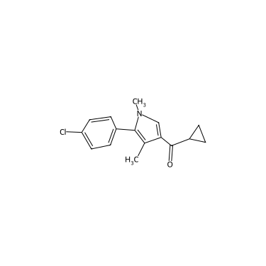 Cc1c(C(=O)C2CC2)cn(C)c1-c1ccc(Cl)cc1